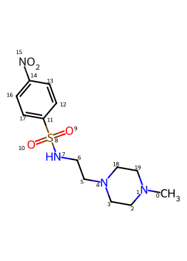 CN1CCN(CCNS(=O)(=O)c2ccc([N+](=O)[O-])cc2)CC1